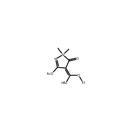 CCCC/C(OCC)=C1/C(=O)[N+](C)(C)N=C1OC(C)=O